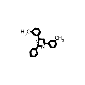 Cc1cccc(-c2cc(-c3cccc(C)c3)nc(-c3cc[c]cc3)n2)c1